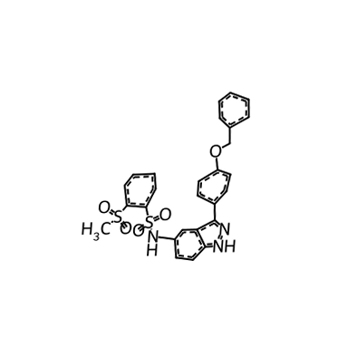 CS(=O)(=O)c1ccccc1S(=O)(=O)Nc1ccc2[nH]nc(-c3ccc(OCc4ccccc4)cc3)c2c1